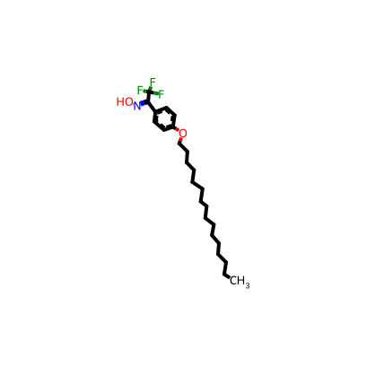 CCCCCCCCCCCCCCCCOc1ccc(C(=NO)C(F)(F)F)cc1